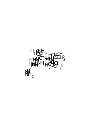 CC(C)(C)OC(=O)NN[C@@H](CCSCC1OC(N2CNC3=C(NCCCCN=NN)N=CNC32)C2OC(C)(C)OC12)C(=O)OC(C)(C)C